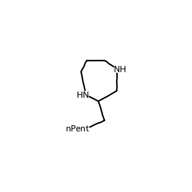 CCCCCCC1CNCCCN1